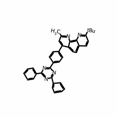 Cc1cc(-c2ccc(-c3nc(-c4ccccc4)nc(-c4ccccc4)n3)cc2)c2ccc3ccc(C(C)(C)C)nc3c2n1